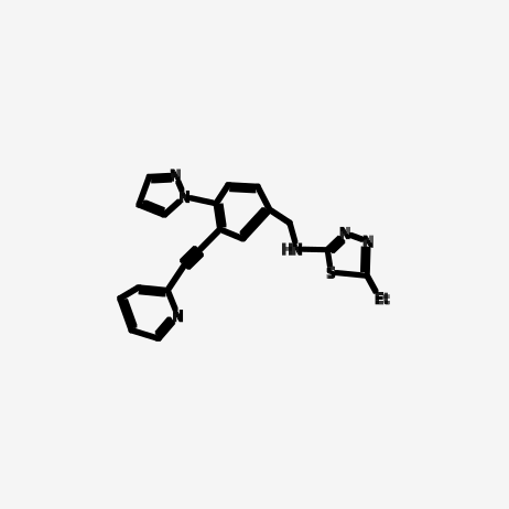 CCc1nnc(NCc2ccc(-n3cccn3)c(C#Cc3ccccn3)c2)s1